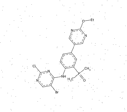 CCOc1ncc(-c2ccc(Nc3nc(Cl)ncc3Br)c(P(C)(C)=O)c2)cn1